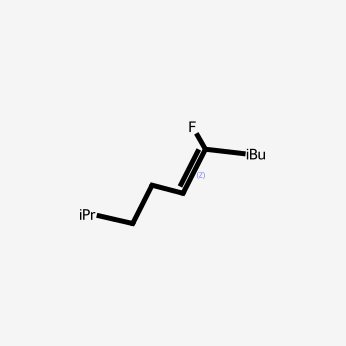 CCC(C)/C(F)=C/CCC(C)C